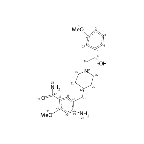 COc1cccc(C(O)CN2CCC(Cc3cc(C(N)=O)c(OC)cc3N)CC2)c1